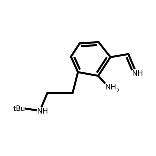 CC(C)(C)NCCc1cccc(C=N)c1N